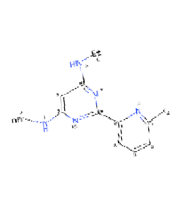 CCCNc1cc(NCC)nc(-c2cccc(C)n2)n1